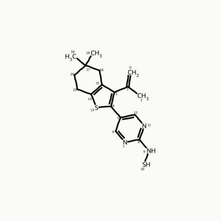 C=C(C)c1c(-c2cnc(NS)nc2)sc2c1CC(C)(C)CC2